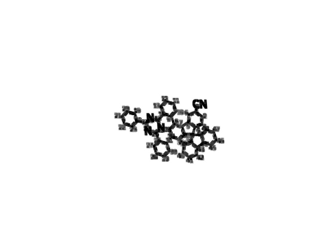 N#Cc1ccc2c(c1)-c1c(-c3ccccc3-c3nc(-c4ccccc4)nc(-c4ccccc4)n3)cccc1C21c2ccccc2-c2ccccc21